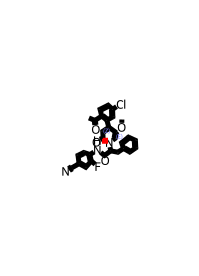 COC(=C/N(C)C(Cc1ccccc1)C(=O)Nc1ccc(C#N)cc1F)/C(=C\C=O)c1cc(Cl)ccc1C(C)=O